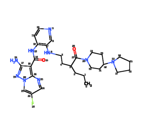 CCCC(CCNc1cnccc1NC(=O)c1c(N)nn2cc(F)cnc12)C(=O)N1CCC(N2CCCC2)CC1